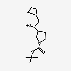 CC(C)(C)OC(=O)N1CCC(C(O)CC2CCC2)C1